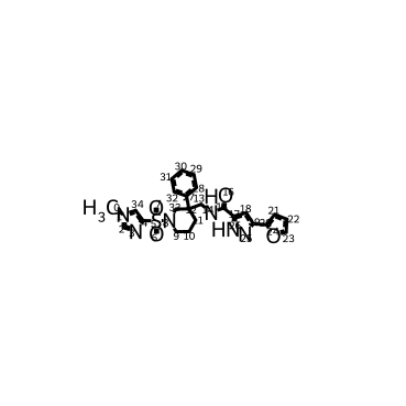 Cn1cnc(S(=O)(=O)N2CCCC(CNC(=O)c3cc(-c4ccco4)n[nH]3)(c3ccccc3)C2)c1